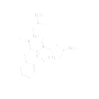 CNC(=O)CNC(=O)C(Cc1ccccc1C#N)NC(=O)C1CC(NC(C)=O)CN1